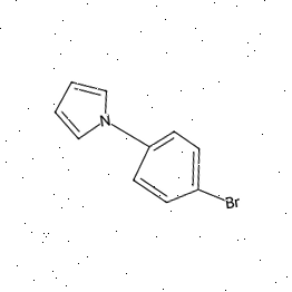 Brc1ccc(-n2cccc2)cc1